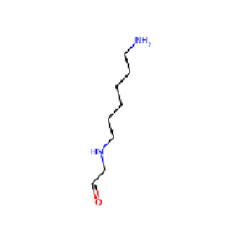 NCCCCCCN[CH]C=O